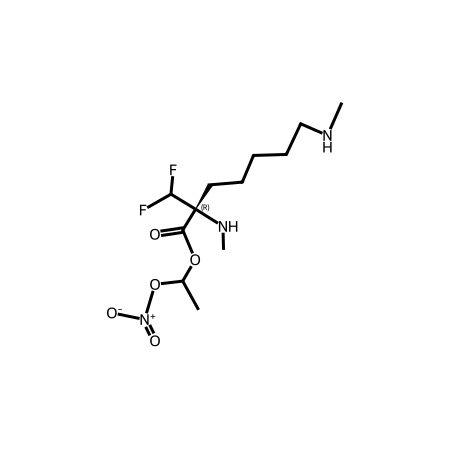 CNCCCCC[C@@](NC)(C(=O)OC(C)O[N+](=O)[O-])C(F)F